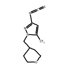 FC(F)(F)c1cc(N=C=S)nn1CC1CCOCC1